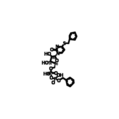 O=c1nc(SCc2ccccc2)ccn1[C@@H]1O[C@H](COP(=O)(O)OP(=O)(O)OCc2ccccc2)[C@H](O)C1O